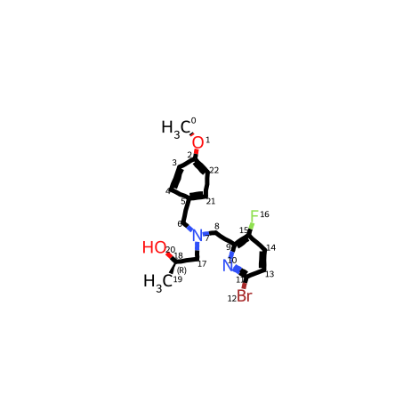 COc1ccc(CN(Cc2nc(Br)ccc2F)C[C@@H](C)O)cc1